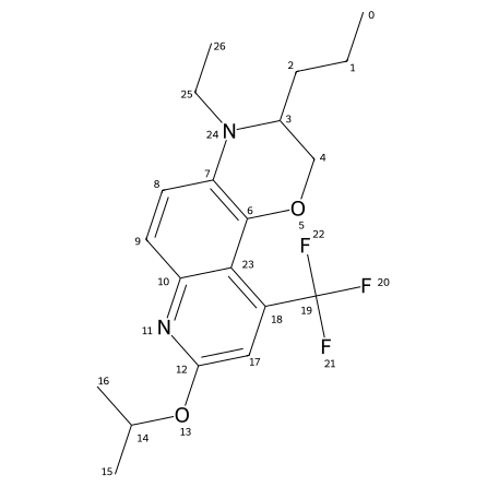 CCCC1COc2c(ccc3nc(OC(C)C)cc(C(F)(F)F)c23)N1CC